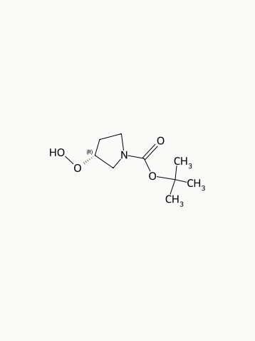 CC(C)(C)OC(=O)N1CC[C@@H](OO)C1